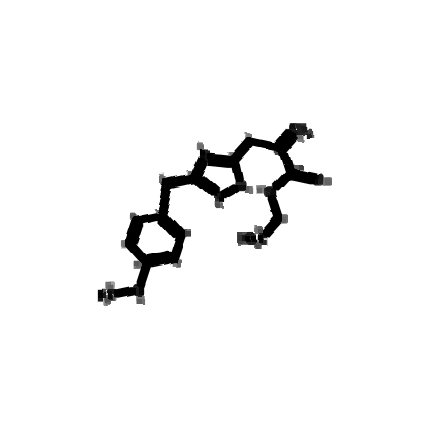 C=C(Cc1nc(Cc2ccc(OC(F)(F)F)cc2)no1)C(=O)OCC(=O)O